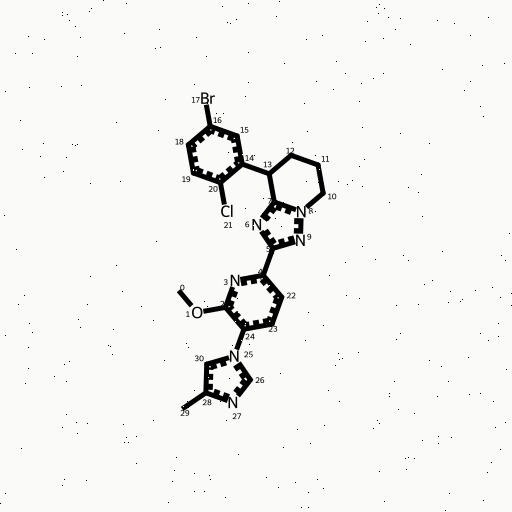 COc1nc(-c2nc3n(n2)CCCC3c2cc(Br)ccc2Cl)ccc1-n1cnc(C)c1